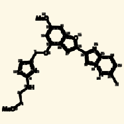 COCCNc1nc(COc2cc(OC)cc3oc(-c4cn5nc(C)ccc5n4)cc23)cs1